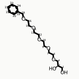 OC[C@@H](O)COCCOCCOCCOCCOCc1ccccc1